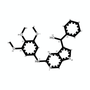 COc1cc(Nc2ncc3scc(C(O)c4ccccc4)c3n2)cc(OC)c1OC